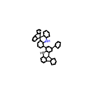 B1c2cccc3c2C(c2ccccc2-3)c2cc(-c3ccccc3)cc(-c3cccc4c3Nc3ccccc3C43c4ccccc4-c4ccccc43)c21